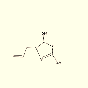 C=CCN1N=C(S)SC1S